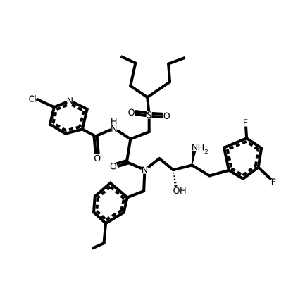 CCCC(CCC)S(=O)(=O)CC(NC(=O)c1ccc(Cl)nc1)C(=O)N(Cc1cccc(CC)c1)C[C@@H](O)[C@@H](N)Cc1cc(F)cc(F)c1